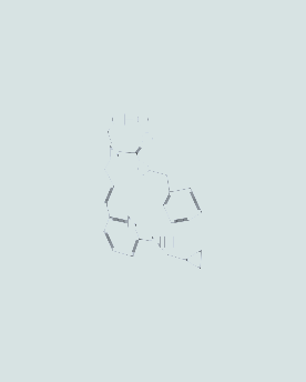 O=CCN(CC=Cc1cccc(NCC2CC2)n1)C(=O)OCc1ccccc1